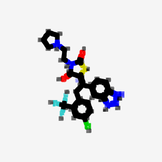 O=C1S/C(=C(/Cc2ccc(Cl)cc2C(F)(F)F)c2ccc3[nH]nnc3c2)C(=O)N1CCN1CCCC1